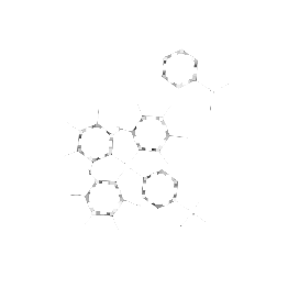 CC[Si](Cl)(Cl)c1ccc([B-](c2c(F)c(F)c(F)c(F)c2F)(c2c(F)c(F)c(F)c(F)c2F)c2c(F)c(F)c(F)c(F)c2F)cc1.C[NH+](C)c1ccccc1